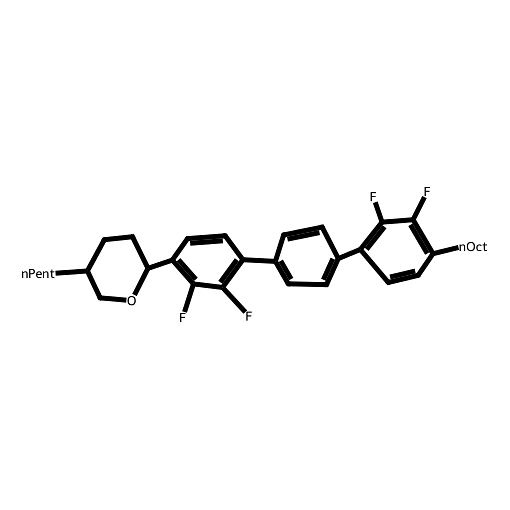 CCCCCCCCc1ccc(-c2ccc(-c3ccc(C4CCC(CCCCC)CO4)c(F)c3F)cc2)c(F)c1F